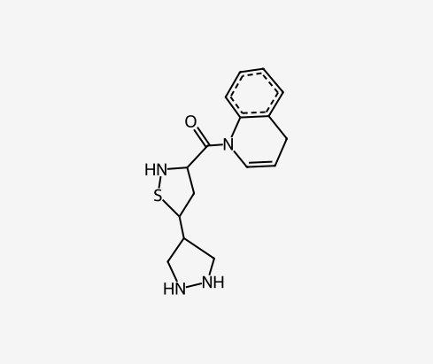 O=C(C1CC(C2CNNC2)SN1)N1C=CCc2ccccc21